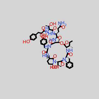 CC[C@H](C)[C@@H]1NC(=O)[C@H](Cc2ccccc2)N(C)C(=O)[C@H]([C@@H](C)O)N2C(=O)[C@H](CC[C@H]2O)NC(=O)[C@H](Cc2ccc(O)cc2)NC(=O)[C@@H](NC(=O)[C@H](CCC(N)=O)NC(=O)[C@@H](NC(=O)[C@H](O)Cc2ccc(O)cc2)[C@@H](C)O)[C@@H](C)OC1=O